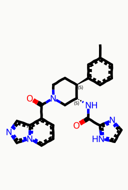 Cc1cccc([C@@H]2CCN(C(=O)c3cccn4cncc34)C[C@H]2NC(=O)c2ncc[nH]2)c1